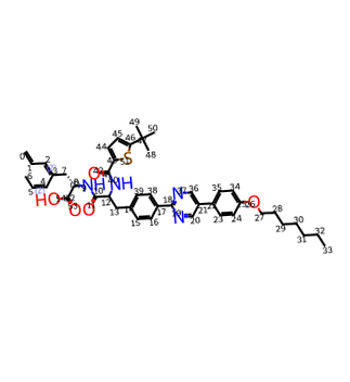 C=C/C=C(\C=C/C)C[C@H](NC(=O)C(Cc1ccc(-c2ncc(-c3ccc(OCCCCCCC)cc3)cn2)cc1)NC(=O)c1ccc(C(C)(C)C)s1)C(=O)O